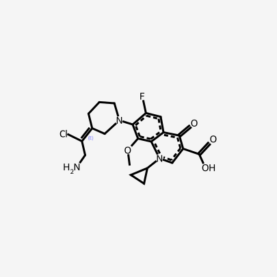 COc1c(N2CCC/C(=C(\Cl)CN)C2)c(F)cc2c(=O)c(C(=O)O)cn(C3CC3)c12